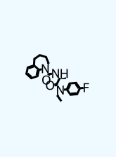 CCN(C(=O)[C@H](C)NC(=O)N1CCCCc2ccccc21)c1ccc(F)cc1